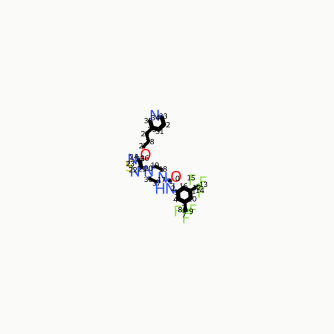 O=C(Nc1cc(C(F)(F)F)cc(C(F)(F)F)c1)N1CCN(c2nsnc2OCCCc2cccnc2)CC1